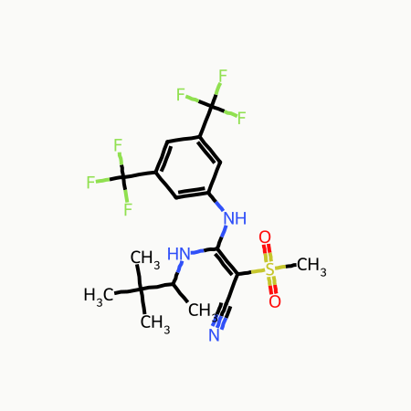 CC(NC(Nc1cc(C(F)(F)F)cc(C(F)(F)F)c1)=C(C#N)S(C)(=O)=O)C(C)(C)C